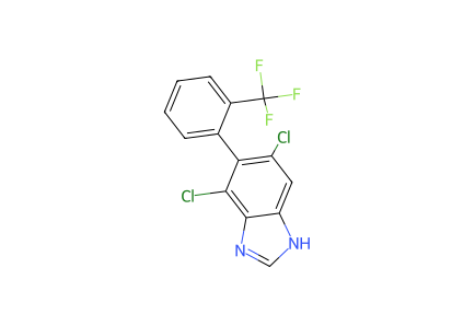 FC(F)(F)c1ccccc1-c1c(Cl)cc2[nH]cnc2c1Cl